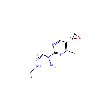 CCN/N=C\N(N)c1ncc([C@@H]2CO2)c(C)n1